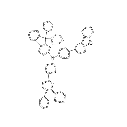 c1ccc(C2(c3ccccc3)c3ccccc3-c3ccc(N(c4ccc(-c5ccc6oc7ccccc7c6c5)cc4)c4ccc(-c5ccc6c7ccccc7c7ccccc7c6c5)cc4)cc32)cc1